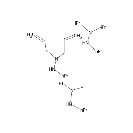 C=CCN(CC=C)NCCC.CCCNN(C(C)C)C(C)C.CCCNN(CC)CC